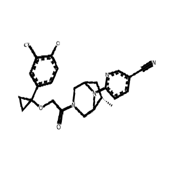 C[C@H]1CC2CN(C(=O)COC3(c4ccc(Cl)c(Cl)c4)CC3)CC1N2c1ccc(C#N)cn1